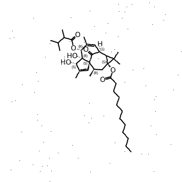 CCCCCCCCCCCC(=O)O[C@@]12C[C@@H](C)[C@]34C=C(C)[C@H](O)[C@@]3(O)[C@H](OC(=O)C(C)C(C)C)C(C)=C[C@H](C4=O)C1C2(C)C